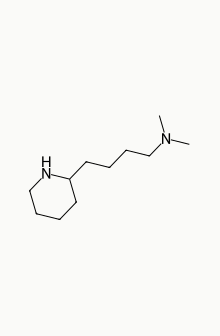 CN(C)CCCCC1CCCCN1